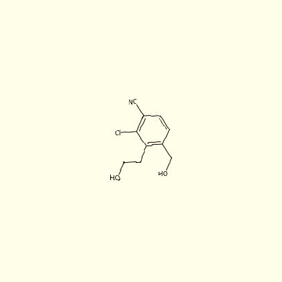 N#Cc1ccc(CO)c(CCO)c1Cl